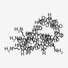 CC(C)C[C@H](NC(=O)[C@H](CC(N)=O)NC(=O)[C@@H](NC(=O)[C@H](CO)NC(=O)[C@H](CCCCN)NC(=O)[C@H](CCCCN)NC(=O)[C@@H]1CCCN1C(=O)CNC(=O)[C@H](CS)NC(=O)[C@@H](NC(=O)[C@@H](NC(=O)[C@H](C)NC(=O)[C@@H]1CCCN1)[C@@H](C)O)C(C)C)[C@@H](C)O)C(=O)N[C@H](C(=O)N[C@@H](CCCCN)C(=O)N[C@@H](CC(N)=O)C(=O)N[C@@H](CCCCN)C(=O)N[C@@H](CS)C(=O)N[C@H](C(=O)N[C@@H](CC(N)=O)C(=O)O)C(C)C)C(C)C